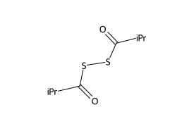 CC(C)C(=O)SSC(=O)C(C)C